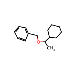 C[C](OCc1ccccc1)C1CCCCC1